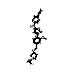 COc1cc(COC2CCN(C(C)C)C2)ccc1-c1cc(Nc2cnc(C#N)cn2)n[nH]1